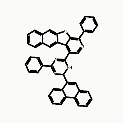 c1ccc(C2=NC(c3cc4ccccc4c4ccccc34)NC(c3cnc(-c4ccccc4)c4oc5cc6ccccc6cc5c34)=N2)cc1